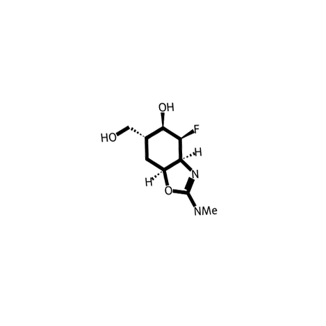 CNC1=N[C@@H]2[C@H](F)[C@H](O)[C@@H](CO)C[C@@H]2O1